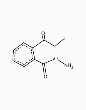 NOC(=O)c1ccccc1C(=O)CI